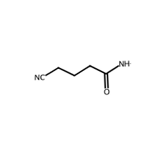 N#CCCCC([NH])=O